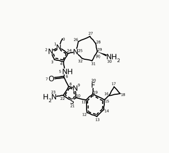 Cn1ncc(NC(=O)c2nc(-c3cccc(C4CC4)c3F)sc2N)c1N1CCC[C@@H](N)CC1